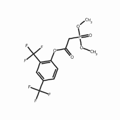 COP(=O)(CC(=O)Oc1ccc(C(F)(F)F)cc1C(F)(F)F)OC